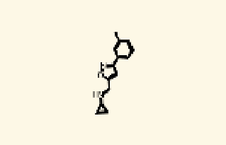 Cc1cccc(-c2cc(CNC3CC3)on2)c1